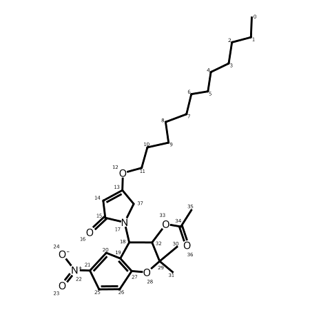 CCCCCCCCCCCCOC1=CC(=O)N(C2c3cc([N+](=O)[O-])ccc3OC(C)(C)C2OC(C)=O)C1